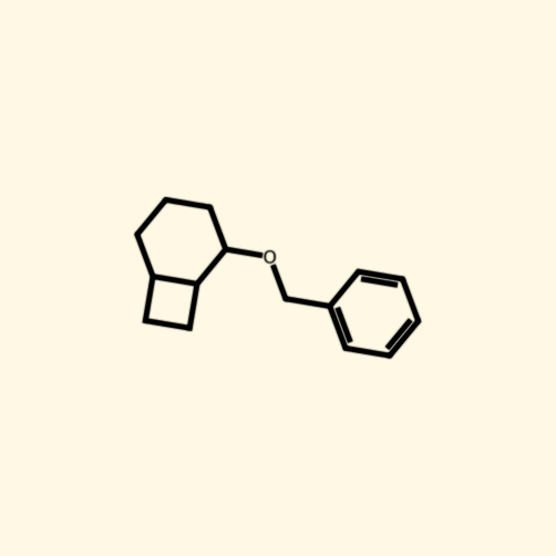 c1ccc(COC2CCCC3CCC32)cc1